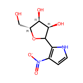 O=[N+]([O-])c1cc[nH]c1C1O[C@H](CO)[C@@H](O)[C@H]1O